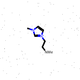 CNCC[n+]1ccn(C)c1